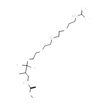 CSC(=O)NCC(F)C(C)(C)OCCOCCNCCOCCNC(C)C